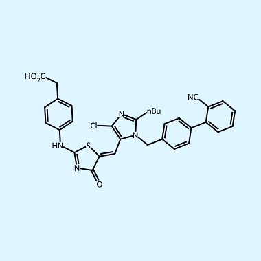 CCCCc1nc(Cl)c(C=C2SC(Nc3ccc(CC(=O)O)cc3)=NC2=O)n1Cc1ccc(-c2ccccc2C#N)cc1